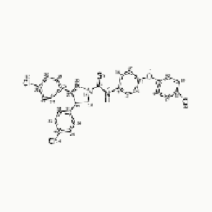 S=C(Nc1ccc(Oc2ccc(Cl)cc2)cc1)N1CC(c2ccc(Cl)cc2)C(c2ccc(Cl)cc2)=N1